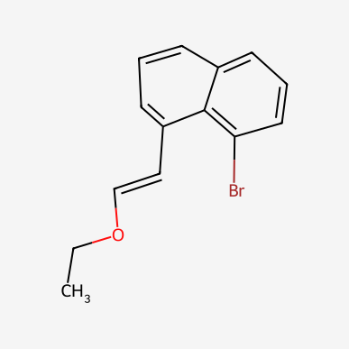 CCOC=Cc1cccc2cccc(Br)c12